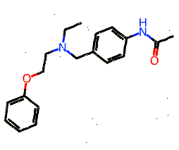 CCN(CCOc1ccccc1)Cc1ccc(NC(C)=O)cc1